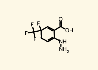 NNC1=CCC(F)(C(F)(F)F)C=C1C(=O)O